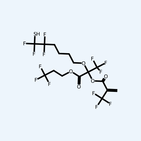 C=C(C(=O)OC(OCCCCC(F)(F)C(F)(F)S)(C(=O)OCCC(F)(F)F)C(F)(F)F)C(F)(F)F